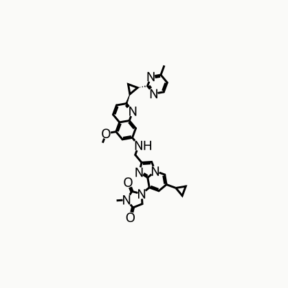 COc1cc(NCc2cn3cc(C4CC4)cc(N4CC(=O)N(C)C4=O)c3n2)cc2nc([C@H]3C[C@@H]3c3nccc(C)n3)ccc12